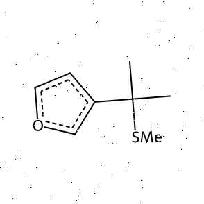 CSC(C)(C)c1ccoc1